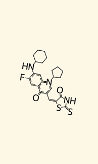 O=C1NC(=S)SC1=Cc1cn(C2CCCC2)c2cc(NC3CCCCC3)c(F)cc2c1=O